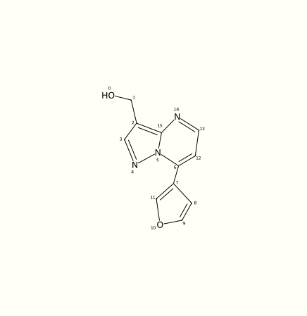 OCc1cnn2c(-c3ccoc3)ccnc12